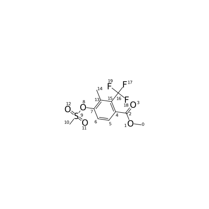 COC(=O)c1ccc(OS(C)(=O)=O)c(C)c1C(F)(F)F